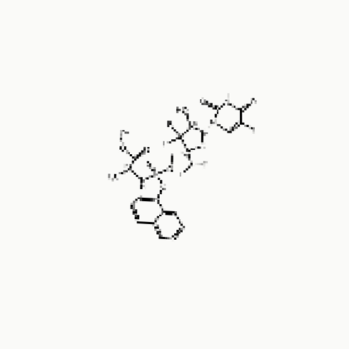 CC(C)OC(=O)[C@H](C)NP(=S)(OC[C@@]1(C(F)F)O[C@@H](n2cc(F)c(=O)[nH]c2=O)[C@H](O)C1(F)F)Oc1cccc2ccccc12